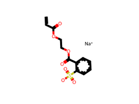 C=CC(=O)OCCOC(=O)c1ccccc1S(=O)(=O)[O-].[Na+]